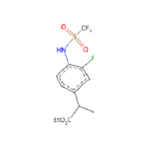 CCOC(=O)C(C)c1ccc(NS(=O)(=O)C(F)(F)F)c(F)c1